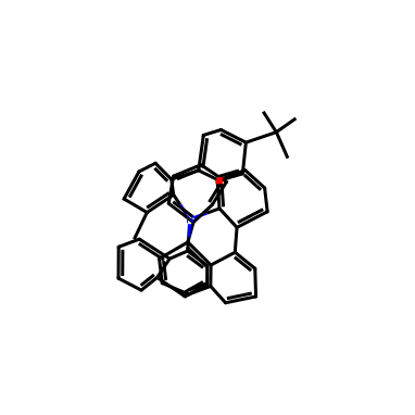 Cc1cccc(-c2ccc(C(C)(C)C)cc2)c1N(c1ccccc1-c1cccc2cccc(-c3ccccc3)c12)c1cccc2ccccc12